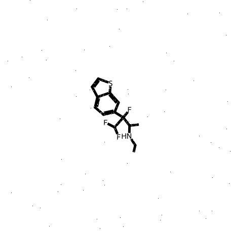 CCNC(C)C(F)(c1ccc2ccsc2c1)C(F)F